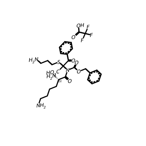 NCCCC[C@H](N)C(=O)N(C(=O)OCc1ccccc1)C(SCCCN)(C(=O)O)C(=O)c1ccccc1.O=C(O)C(F)(F)F